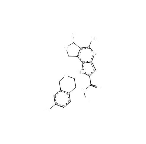 C[C@H]1OCc2c1c(N)nc1cc(C(=O)N(C)[C@H]3COCc4cc(Br)ccc43)[nH]c21